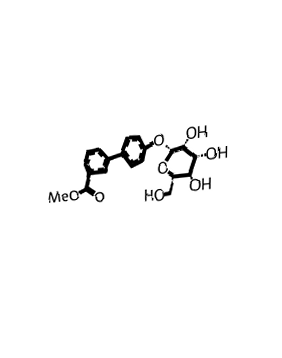 COC(=O)c1cccc(-c2ccc(O[C@H]3O[C@H](CO)[C@@H](O)[C@@H](O)[C@H]3O)cc2)c1